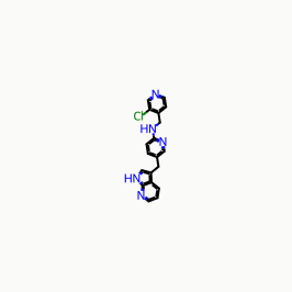 Clc1cnccc1CNc1ccc(Cc2c[nH]c3ncccc23)cn1